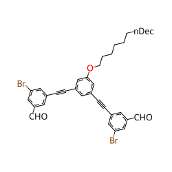 CCCCCCCCCCCCCCCCOc1cc(C#Cc2cc(Br)cc(C=O)c2)cc(C#Cc2cc(Br)cc(C=O)c2)c1